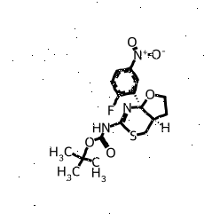 CC(C)(C)OC(=O)NC1=N[C@@]2(c3cc([N+](=O)[O-])ccc3F)OCC[C@H]2CS1